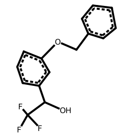 OC(c1cccc(OCc2ccccc2)c1)C(F)(F)F